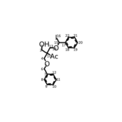 CC(=O)C(CO)(COCc1ccccc1)COC(I)c1ccccc1